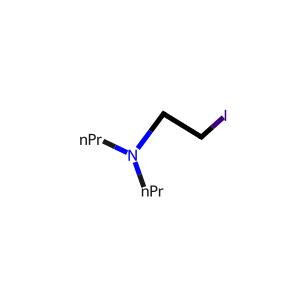 CCCN(CCC)CCI